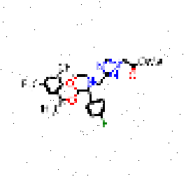 COC(=O)Cn1cnc(CN2CCOC(O[C@H](C)c3cc(C(F)(F)F)cc(C(F)(F)F)c3)C2c2ccc(F)cc2)n1